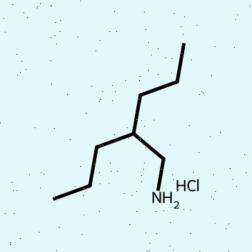 CCCC(CN)CCC.Cl